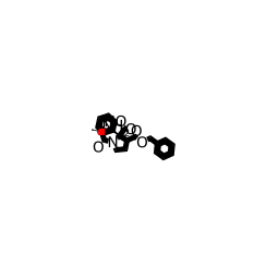 C[C@H](N)C(=O)N1CCC(C(=O)OCc2ccccc2)[C@]1(C(=O)O)c1ccccc1